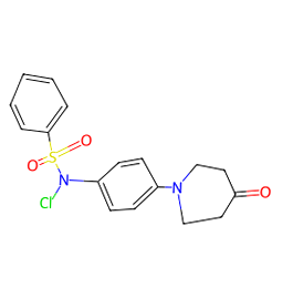 O=C1CCN(c2ccc(N(Cl)S(=O)(=O)c3ccccc3)cc2)CC1